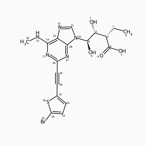 CC[C@H](C(=O)O)[C@@H](O)[C@@H](O)n1cnc2c(NC)nc(C#Cc3ccc(Br)s3)nc21